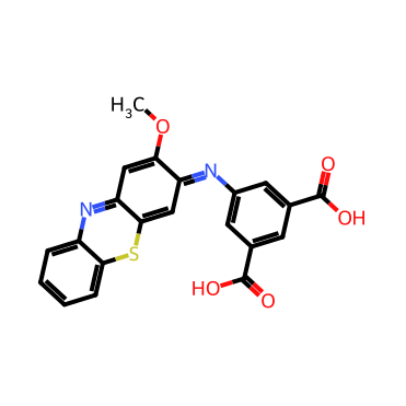 COc1cc2nc3ccccc3sc-2cc1=Nc1cc(C(=O)O)cc(C(=O)O)c1